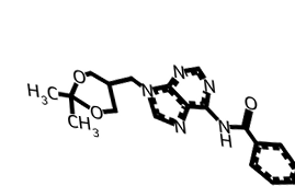 CC1(C)OCC(Cn2cnc3c(NC(=O)c4ccccc4)ncnc32)CO1